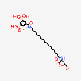 O=[C]CC[C@H](NC(=O)CCCCCCCCCCCCCCCNC(=O)c1cc(B(O)O)cc(B(O)O)c1)C(=O)O